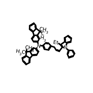 CCc1c(/C=C\Cc2ccc(N(c3ccc4c(c3)C(C)(C)c3ccccc3-4)c3ccc4c(c3)C(C)(C)c3ccccc3-4)cc2)n(-c2ccccc2)c2ccccc12